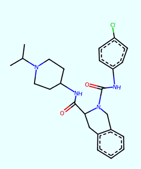 CC(C)N1CCC(NC(=O)C2Cc3ccccc3CN2C(=O)Nc2ccc(Cl)cc2)CC1